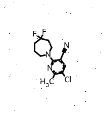 Cc1nc(N2CCCC(F)(F)CC2)c(C#N)cc1Cl